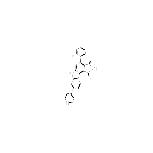 Cn1c2cc(-c3ccncc3)ccc2c2c3c(c(-c4ccccc4Cl)cc21)C(=O)NC3=O